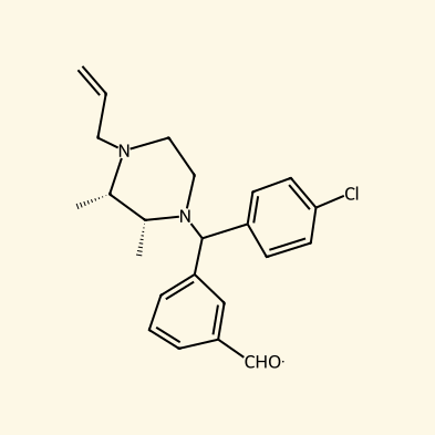 C=CCN1CCN(C(c2ccc(Cl)cc2)c2cccc([C]=O)c2)[C@H](C)[C@@H]1C